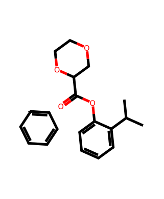 CC(C)c1ccccc1OC(=O)C1COCCO1.[c]1ccccc1